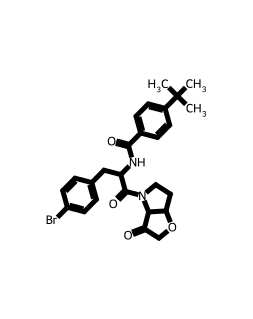 CC(C)(C)c1ccc(C(=O)NC(Cc2ccc(Br)cc2)C(=O)N2CCC3OCC(=O)C32)cc1